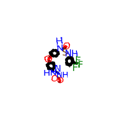 COC(=O)Nc1nc2cc(Oc3ccc(NC(=O)SNc4cccc(C(F)(F)F)c4)cc3)ccc2[nH]1